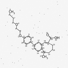 CCCCOCCOc1ccc(-c2ccc3c(c2)/C=C(/C(=O)O)CCCN3C)cc1